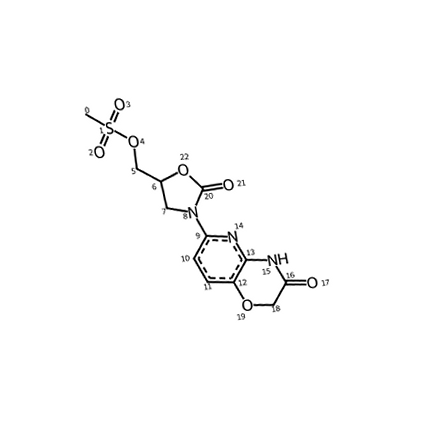 CS(=O)(=O)OCC1CN(c2ccc3c(n2)NC(=O)CO3)C(=O)O1